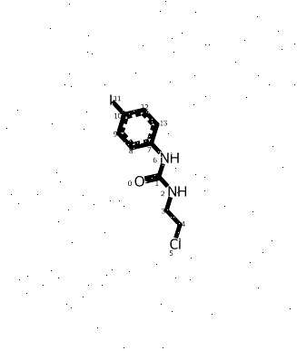 O=C(NCCCl)Nc1ccc(I)cc1